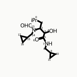 CC(C)CC(C(O)C(=O)NCC1CC1)N(C=O)CC1CC1